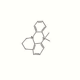 C[Si]1(C)c2ccccc2N2CCCc3cccc1c32